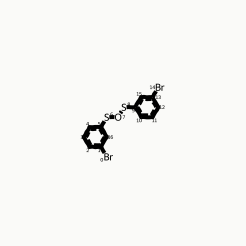 Brc1cccc(SOSc2cccc(Br)c2)c1